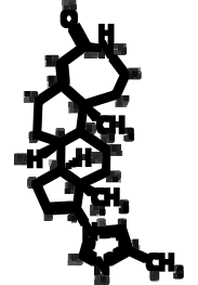 Cc1cn(C2=CC[C@H]3[C@@H]4CCC5=CC(=O)NCC[C@]5(C)C4CC[C@]23C)cn1